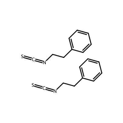 S=C=NCCc1ccccc1.S=C=NCCc1ccccc1